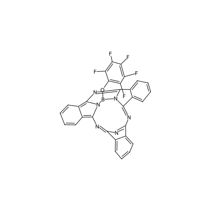 Fc1c(F)c(F)c(OB2n3c4c5ccccc5c3/N=C3N=C(/N=c5/c6ccccc6c(n52)=N4)c2ccccc2\3)c(F)c1F